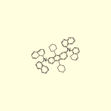 C1=CC2=CC=CC(N(c3ccc4c(C5CCCCC5)c5ccc(N(c6cccc7c6CCC=C7)c6cccc7ccccc67)cc5c(C5CCCCC5)c4c3)c3cccc4ccccc34)C2C=C1